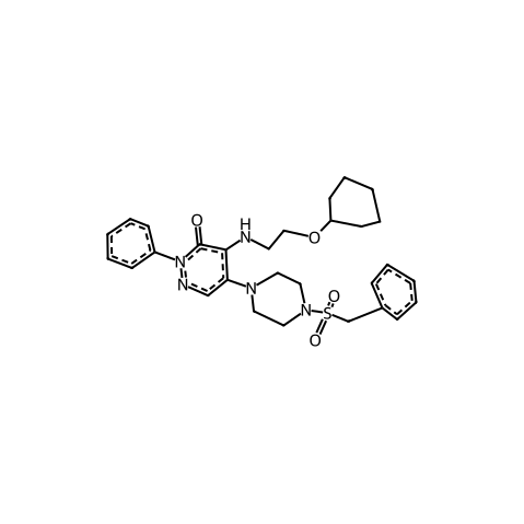 O=c1c(NCCOC2CCCCC2)c(N2CCN(S(=O)(=O)Cc3ccccc3)CC2)cnn1-c1ccccc1